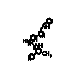 CC1C=C(c2ccncc2)c2cc(-c3n[nH]c4ccc(-c5cncc(CNCc6ccccc6)c5)nc34)[nH]c2C1